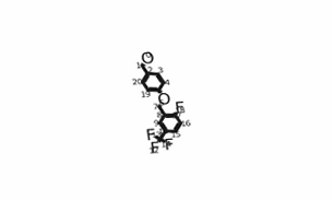 O=Cc1ccc(OCc2cc(C(F)(F)F)ccc2F)cc1